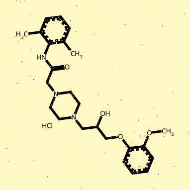 COc1ccccc1OCC(O)CN1CCN(CC(=O)Nc2c(C)cccc2C)CC1.Cl